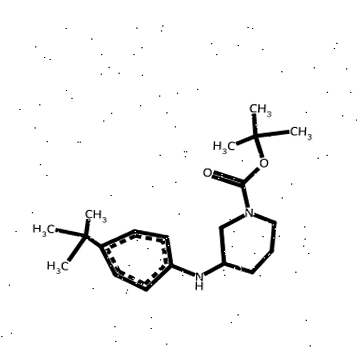 CC(C)(C)OC(=O)N1CCCC(Nc2ccc(C(C)(C)C)cc2)C1